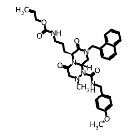 C=CCOC(=O)NCCC[C@H]1C(=O)N(Cc2cccc3ccccc23)C[C@H]2N1C(=O)CN(C)N2C(=O)NCc1ccc(OC)cc1